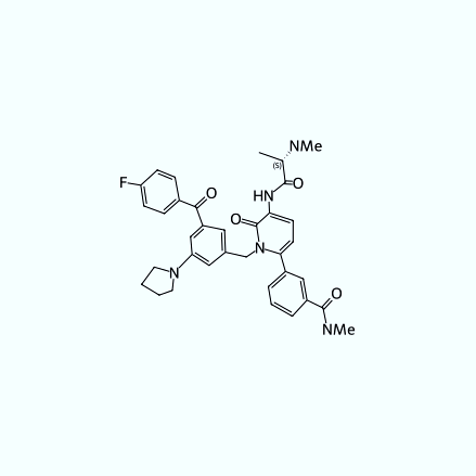 CNC(=O)c1cccc(-c2ccc(NC(=O)[C@H](C)NC)c(=O)n2Cc2cc(C(=O)c3ccc(F)cc3)cc(N3CCCC3)c2)c1